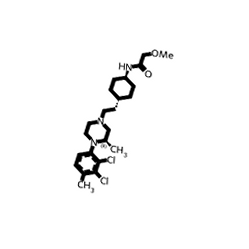 COCC(=O)N[C@H]1CC[C@H](CCN2CCN(c3ccc(C)c(Cl)c3Cl)[C@H](C)C2)CC1